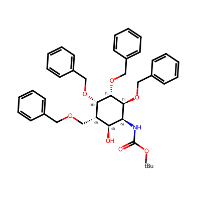 CC(C)(C)OC(=O)N[C@H]1[C@@H](O)[C@H](COCc2ccccc2)[C@H](OCc2ccccc2)[C@H](OCc2ccccc2)[C@H]1OCc1ccccc1